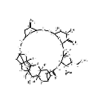 C=C1CC2CC[C@@]34CC5O[C@H]6[C@@H](O3)[C@H]3OC(CC[C@@H]3O[C@H]6[C@H]5O4)CC(=O)CC3[C@H](CC4O[C@@H](CCC1O2)C[C@@H](C)C4=C)O[C@H](CC=O)[C@@H]3OC